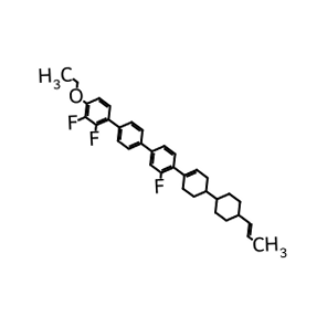 C/C=C/C1CCC(C2CC=C(c3ccc(-c4ccc(-c5ccc(OCC)c(F)c5F)cc4)cc3F)CC2)CC1